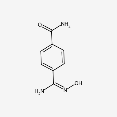 NC(=O)c1ccc(/C(N)=N\O)cc1